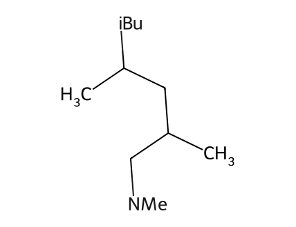 CCC(C)C(C)CC(C)CNC